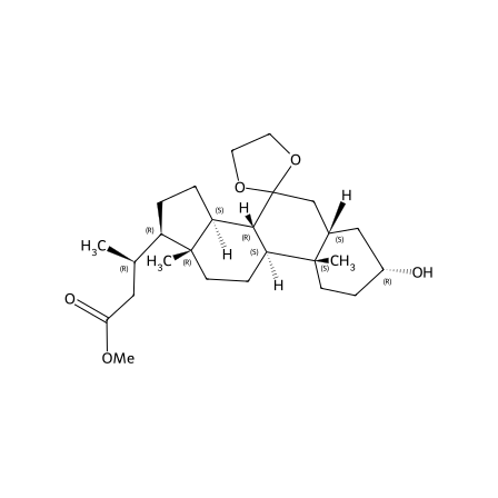 COC(=O)C[C@@H](C)[C@H]1CC[C@H]2[C@H]3[C@H](CC[C@]12C)[C@@]1(C)CC[C@@H](O)C[C@H]1CC31OCCO1